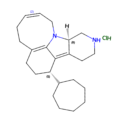 C1=C\CN2C3=C(CC/1)CC[C@@H](C1CCCCCC1)C3=C1CCNC[C@@H]12.Cl